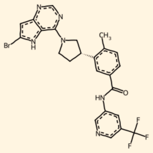 Cc1ccc(C(=O)Nc2cncc(C(F)(F)F)c2)cc1[C@@H]1CCN(c2ncnc3cc(Br)[nH]c23)C1